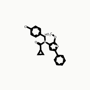 O=C(O)Oc1sc(-c2ccccc2)cc1N(Cc1ccc(Cl)cc1)C(=O)C1CC1